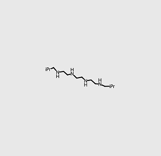 CC(C)CNCCNCCNCCNCC(C)C